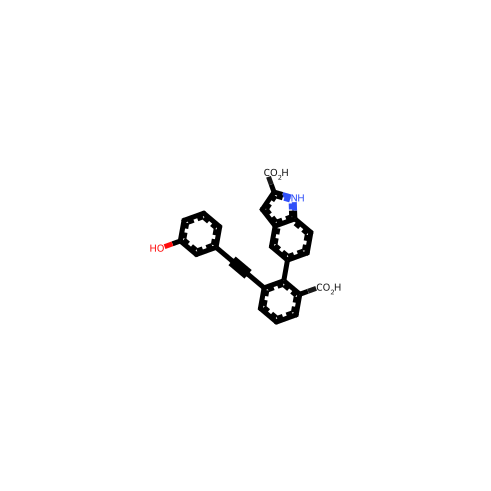 O=C(O)c1cc2cc(-c3c(C#Cc4cccc(O)c4)cccc3C(=O)O)ccc2[nH]1